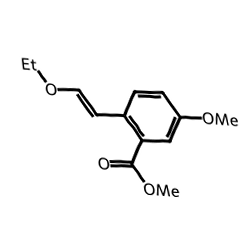 CCOC=Cc1ccc(OC)cc1C(=O)OC